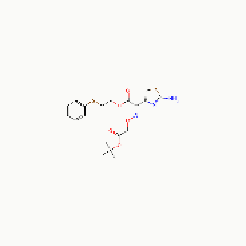 CC(C)(C)OC(=O)CON=C(C(=O)OCCSc1ccccc1)c1csc(N)n1